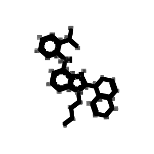 CCCCn1c(C2CC=CC3=C2C=CCC3)nc2c(Nc3ccccc3C(C)C)cccc21